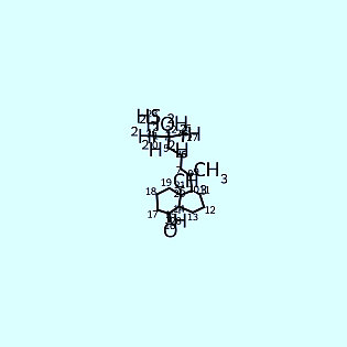 [2H]C([2H])([2H])C(CCC[C@@H](C)[C@H]1CCC[C@H]2C(=O)CCC[C@]12C)(OS)C([2H])([2H])[2H]